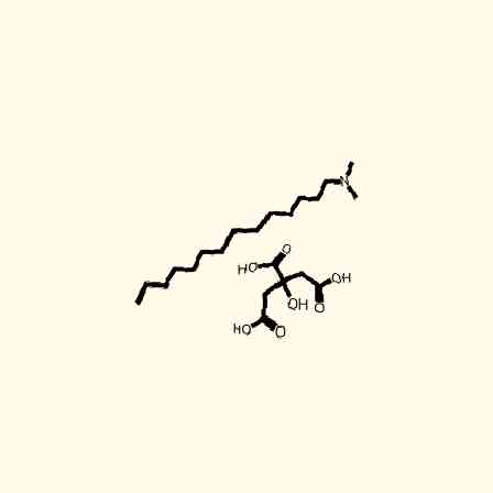 CCCCCCCCCCCCCCN(C)C.O=C(O)CC(O)(CC(=O)O)C(=O)O